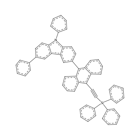 C(#C[Si](c1ccccc1)(c1ccccc1)c1ccccc1)c1c2ccccc2c(-c2ccc3c(c2)c2cc(-c4ccccc4)ccc2n3-c2ccccc2)c2ccccc12